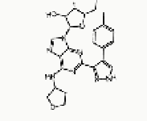 Cc1ccc(-c2c[nH]nc2-c2nc(NC3CCOC3)c3ncn([C@@H]4OC(CO)[C@@H](O)C4O)c3n2)cc1